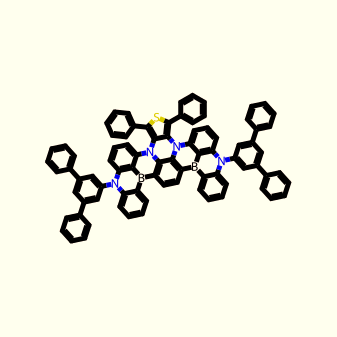 c1ccc(-c2cc(-c3ccccc3)cc(N3c4ccccc4B4c5ccc6c7c5N(c5cccc3c54)c3c(-c4ccccc4)sc(-c4ccccc4)c3N7c3cccc4c3B6c3ccccc3N4c3cc(-c4ccccc4)cc(-c4ccccc4)c3)c2)cc1